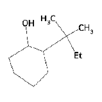 CCC(C)(C)C1CCCCC1O